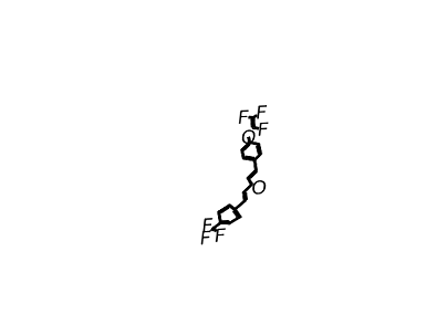 O=C(/C=C/c1ccc(OC(F)=C(F)F)cc1)/C=C/c1ccc(C(F)(F)F)cc1